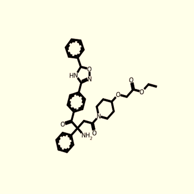 CCOC(=O)COC1CCN(C(=O)CC(N)(C(=O)c2ccc(C3=NOC(c4ccccc4)N3)cc2)c2ccccc2)CC1